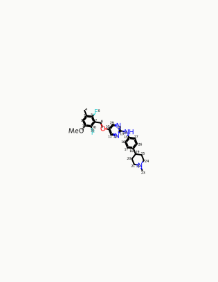 COc1cc(C)c(F)c(COc2cnc(Nc3ccc(C4CCN(C)CC4)cc3)nc2)c1F